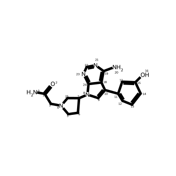 NC(=O)CN1CCC(n2cc(-c3cccc(O)c3)c3c(N)ncnc32)C1